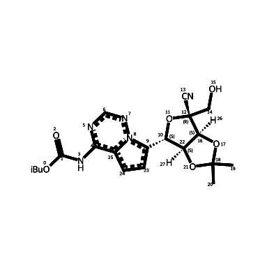 CC(C)COC(=O)Nc1ncnn2c([C@@H]3O[C@](C#N)(CO)[C@H]4OC(C)(C)O[C@@H]34)ccc12